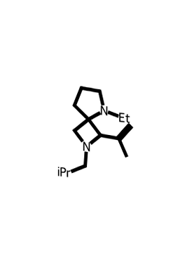 C=C(C)C1N(CC(C)C)CC12CCCN2CC